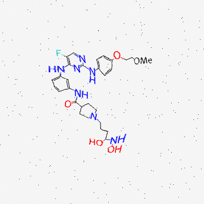 COCCOc1ccc(Nc2ncc(F)c(Nc3cccc(NC(=O)C4CCN(CCCC(O)NO)CC4)c3)n2)cc1